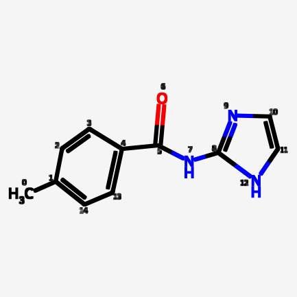 Cc1ccc(C(=O)Nc2ncc[nH]2)cc1